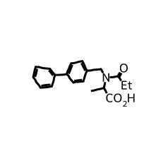 CCC(=O)N(Cc1ccc(-c2ccccc2)cc1)C(C)C(=O)O